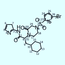 O=C(NC1=NC=CC1)[C@H](CC1CCCCC1)N1CCN(S(=O)(=O)c2ccc(Br)s2)CC1=O